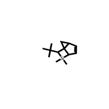 CC(C)(C)C1C23CC2C=CC3[Si]1(C)C